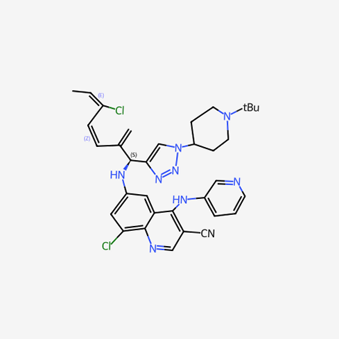 C=C(/C=C\C(Cl)=C/C)[C@H](Nc1cc(Cl)c2ncc(C#N)c(Nc3cccnc3)c2c1)c1cn(C2CCN(C(C)(C)C)CC2)nn1